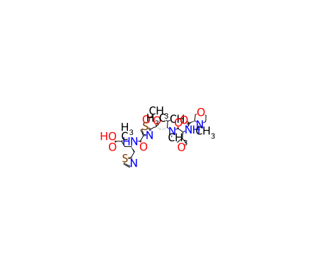 CC(=O)O[C@H](C[C@H](C(C)C)N(C)C(=O)[C@@H](NC(=O)[C@H]1COCCN1C)C1COC1)c1nc(C(=O)N[C@@H](Cc2nccs2)C[C@H](C)C(=O)O)cs1